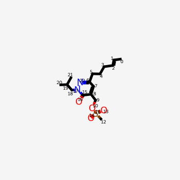 CC=CCCCc1cc(COS(C)(=O)=O)c(=O)n(CC(C)C)n1